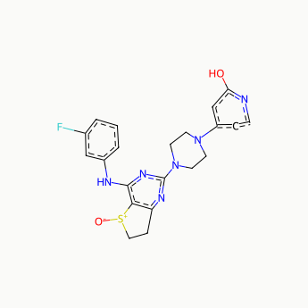 [O-][S+]1CCc2nc(N3CCN(c4ccnc(O)c4)CC3)nc(Nc3cccc(F)c3)c21